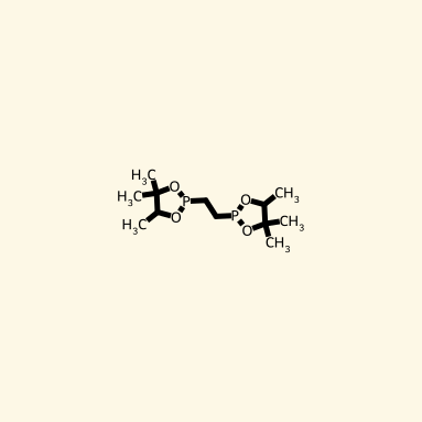 CC1OP(CCP2OC(C)C(C)(C)O2)OC1(C)C